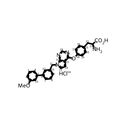 COc1cccc(-c2cccc(Cn3ccc4c(Oc5ccc(CC(N)C(=O)O)cc5)ncnc43)c2)c1.Cl